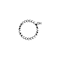 OC1CCCCCCCCCCCCCCCCCCCCCC1